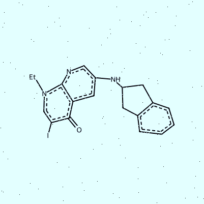 CCn1cc(I)c(=O)c2cc(NC3Cc4ccccc4C3)cnc21